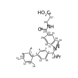 CCCC(c1ccc(-c2c(C)cc(C)cc2C)cc1)n1ncc2cc(C(=O)NCCC(=O)O)ccc21